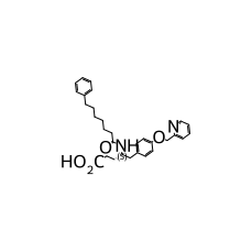 O=C(O)CC[C@@H](Cc1ccc(OCc2ccccn2)cc1)NC(=O)CCCCCCc1ccccc1